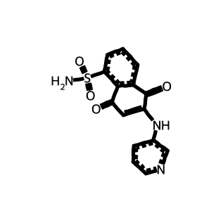 NS(=O)(=O)c1cccc2c1C(=O)C=C(Nc1cccnc1)C2=O